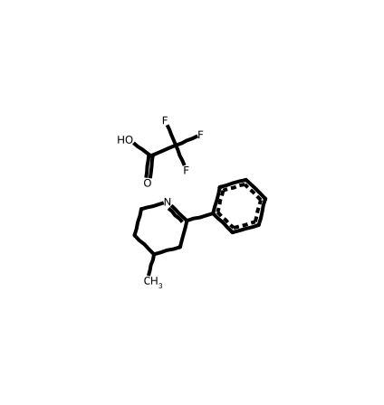 CC1CCN=C(c2ccccc2)C1.O=C(O)C(F)(F)F